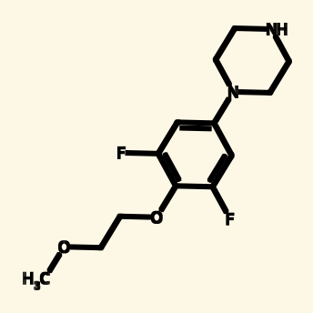 COCCOc1c(F)cc(N2CCNCC2)cc1F